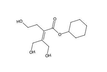 O=C(OC1CCCCC1)C(CCO)=C(CO)CO